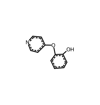 Oc1ccccc1Oc1ccncc1